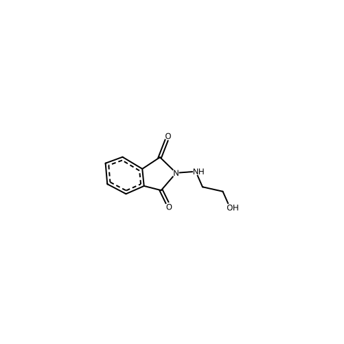 O=C1c2ccccc2C(=O)N1NCCO